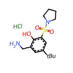 CC(C)(C)c1cc(CN)c(O)c(S(=O)(=O)N2CCCC2)c1.Cl